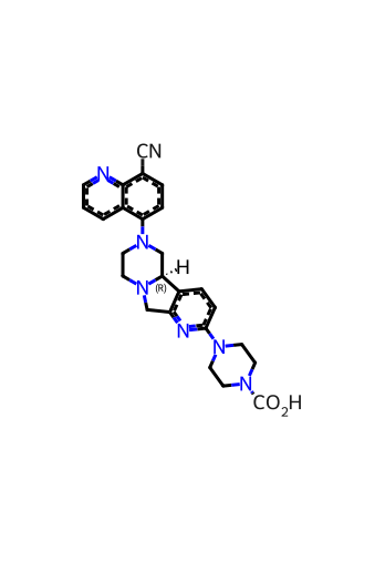 N#Cc1ccc(N2CCN3Cc4nc(N5CCN(C(=O)O)CC5)ccc4[C@@H]3C2)c2cccnc12